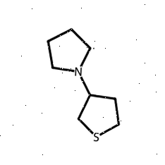 [CH]1CCCN1C1CCSC1